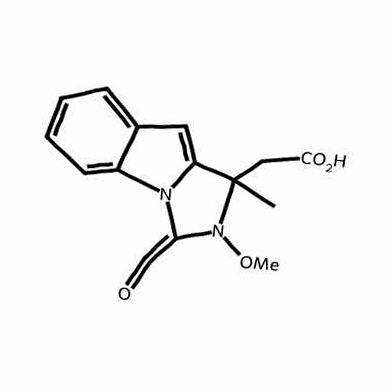 CON1C(=C=O)n2c(cc3ccccc32)C1(C)CC(=O)O